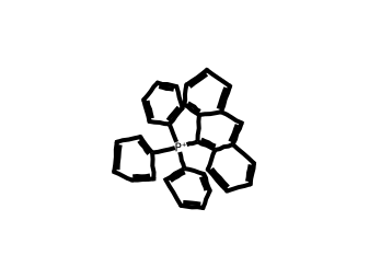 c1ccc([P+](c2ccccc2)(c2ccccc2)c2c3ccccc3cc3ccccc23)cc1